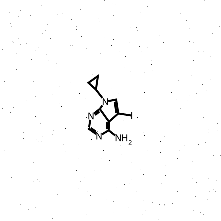 Nc1ncnc2c1c(I)cn2C1CC1